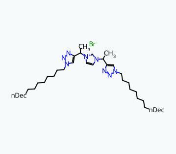 CCCCCCCCCCCCCCCCCCn1cc(C(C)n2cc[n+](C(C)c3cn(CCCCCCCCCCCCCCCCCC)nn3)c2)nn1.[Br-]